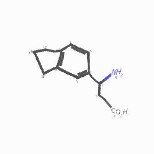 NC(CC(=O)O)c1ccc2c(c1)CCC2